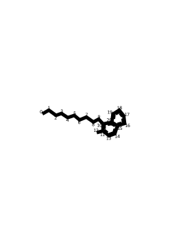 CCCCCCCCCCc1c(C)ccc2ccccc12